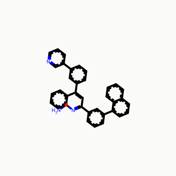 NC/N=C(\C=C(/c1ccccc1)c1cccc(-c2cccnc2)c1)c1cccc(-c2cccc3ccccc23)c1